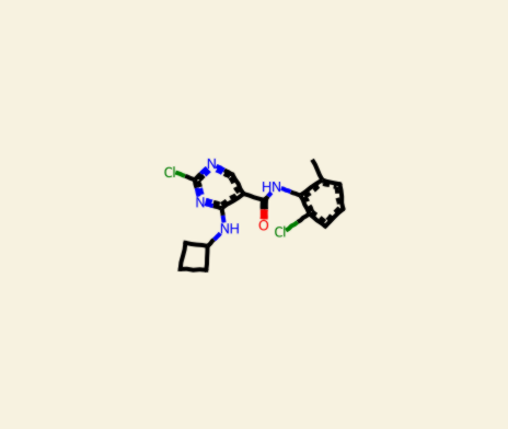 Cc1cccc(Cl)c1NC(=O)c1cnc(Cl)nc1NC1CCC1